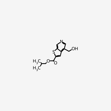 CC(C)COC(=O)c1cc2c(CO)cncc2s1